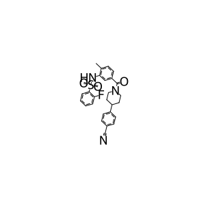 Cc1ccc(C(=O)N2CCC(c3ccc(C#N)cc3)CC2)cc1NS(=O)(=O)c1ccccc1F